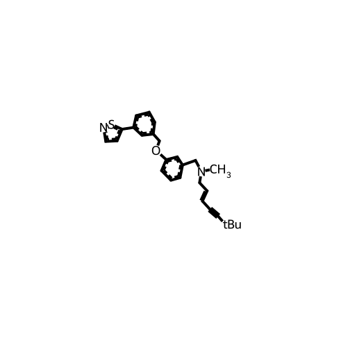 CN(C/C=C/C#CC(C)(C)C)Cc1cccc(OCc2cccc(-c3ccns3)c2)c1